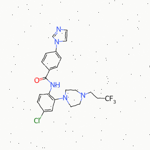 O=C(Nc1ccc(Cl)cc1N1CCN(CCC(F)(F)F)CC1)c1ccc(-n2ccnc2)cc1